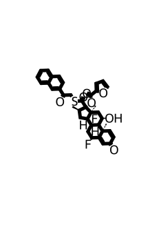 C[C@@H]1C[C@H]2[C@@H]3C[C@H](F)C4=CC(=O)C=C[C@]4(C)[C@@]3(F)[C@@H](O)C[C@]2(C)[C@@]1(OC(=O)c1ccco1)C(=O)SCC(=O)c1ccc2ccccc2c1